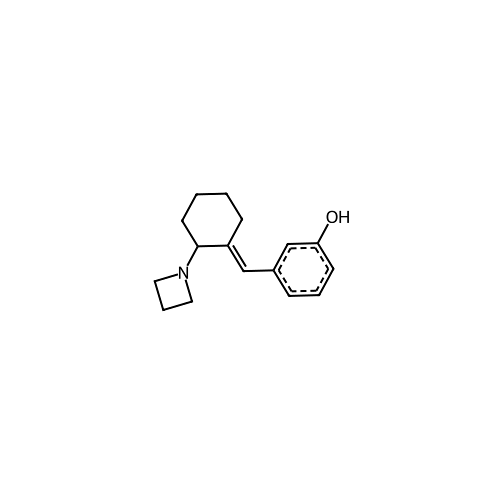 Oc1cccc(C=C2CCCCC2N2CCC2)c1